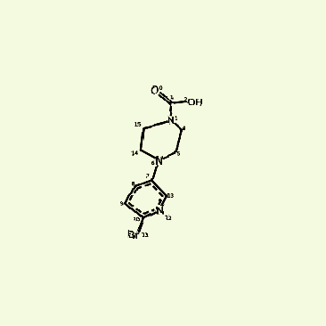 O=C(O)N1CCN(c2ccc(Br)nc2)CC1